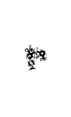 CC(C)N1CCN(c2cc3c(N[C@H](C)c4cccc(C(F)F)c4F)nn(C)c(=O)c3cn2)CC1